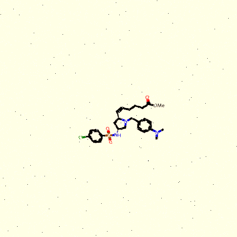 COC(=O)CCC/C=C\[C@@H]1C[C@@H](NS(=O)(=O)c2ccc(Cl)cc2)CN1Cc1ccc(N(C)C)cc1